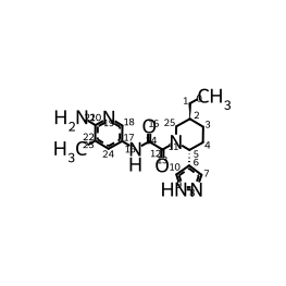 CC[C@H]1CC[C@H](c2cn[nH]c2)N(C(=O)C(=O)Nc2cnc(N)c(C)c2)C1